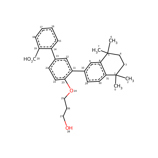 CC1(C)CCC(C)(C)c2cc(-c3cc(-c4ccccc4C(=O)O)ccc3OCCCO)ccc21